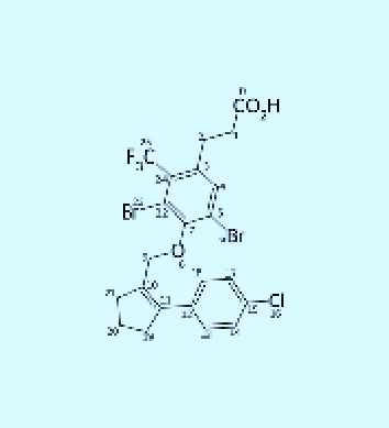 O=C(O)CCc1cc(Br)c(OCC2=C(c3ccc(Cl)cc3)CCC2)c(Br)c1C(F)(F)F